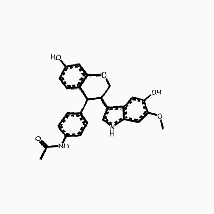 COc1cc2[nH]cc(C3COc4cc(O)ccc4C3c3ccc(NC(C)=O)cc3)c2cc1O